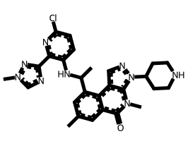 Cc1cc(C(C)Nc2ccc(Cl)nc2-c2ncn(C)n2)c2c(c1)c(=O)n(C)c1c2cnn1C1CCNCC1